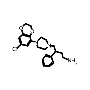 NCCC(CN1CCN(c2cc(Cl)cc3c2OCCO3)CC1)c1ccccc1